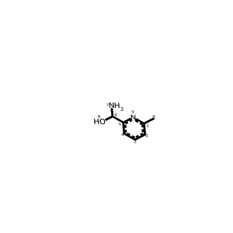 Cc1cccc(C(N)O)n1